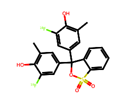 Cc1cc(C2(c3cc(C)c(O)c([18F])c3)OS(=O)(=O)c3ccccc32)cc([18F])c1O